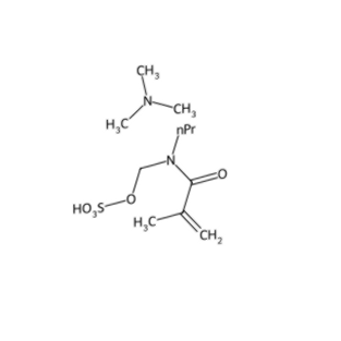 C=C(C)C(=O)N(CCC)COS(=O)(=O)O.CN(C)C